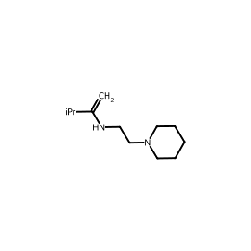 C=C(NCCN1CCCCC1)C(C)C